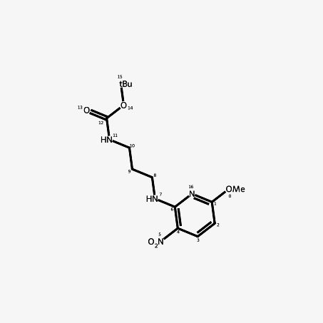 COc1ccc([N+](=O)[O-])c(NCCCNC(=O)OC(C)(C)C)n1